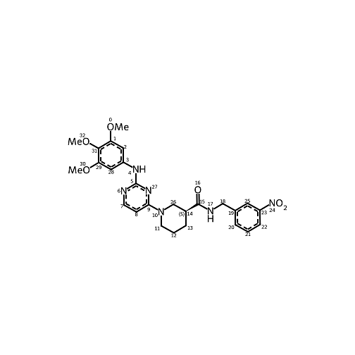 COc1cc(Nc2nccc(N3CCC[C@H](C(=O)NCc4cccc([N+](=O)[O-])c4)C3)n2)cc(OC)c1OC